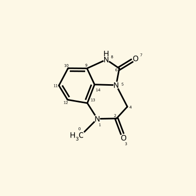 CN1C(=O)Cn2c(=O)[nH]c3cccc1c32